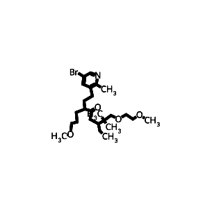 CCC(CC(=O)C(CCCOC)CCc1cc(Br)cnc1C)C(C)(C)COCCOC